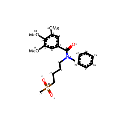 COc1cc(C(=O)N(C)CCCCS(C)(=O)=O)cc(OC)c1OC.c1ccccc1